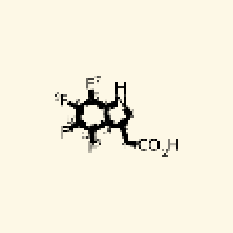 O=C(O)Cc1c[nH]c2c(F)c(F)c(F)c(F)c12